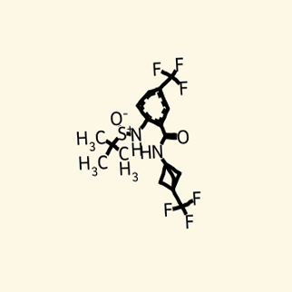 CC(C)(C)[S+]([O-])Nc1ccc(C(F)(F)F)cc1C(=O)NC12CC(C(F)(F)F)(C1)C2